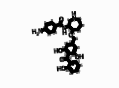 Nc1ccc(C(=O)NC2CNCCCC2OCc2cc(O)c(C(=O)c3ccccc3O)c(O)c2)cc1